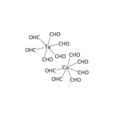 O=[CH][Co]([CH]=O)([CH]=O)([CH]=O)([CH]=O)[CH]=O.O=[CH][Ta]([CH]=O)([CH]=O)([CH]=O)([CH]=O)[CH]=O